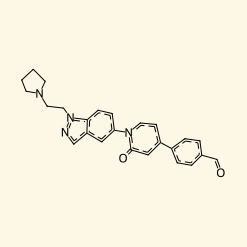 O=Cc1ccc(-c2ccn(-c3ccc4c(cnn4CCN4CCCC4)c3)c(=O)c2)cc1